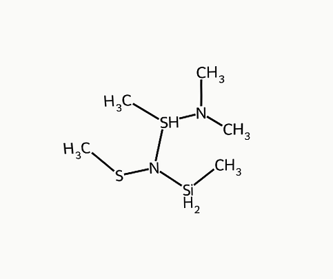 C[SiH2]N(SC)[SH](C)N(C)C